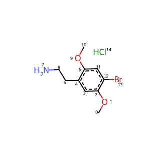 COc1cc(CCN)c(OC)cc1Br.Cl